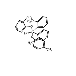 Cc1ccc(OP(O)(Oc2ccccc2C)(c2ccccc2C)c2ccccc2C)cc1